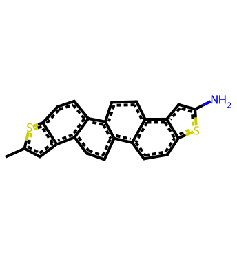 Cc1cc2c(ccc3c2ccc2c4ccc5sc(N)cc5c4ccc32)s1